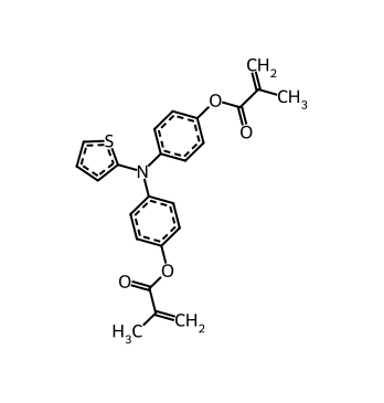 C=C(C)C(=O)Oc1ccc(N(c2ccc(OC(=O)C(=C)C)cc2)c2cccs2)cc1